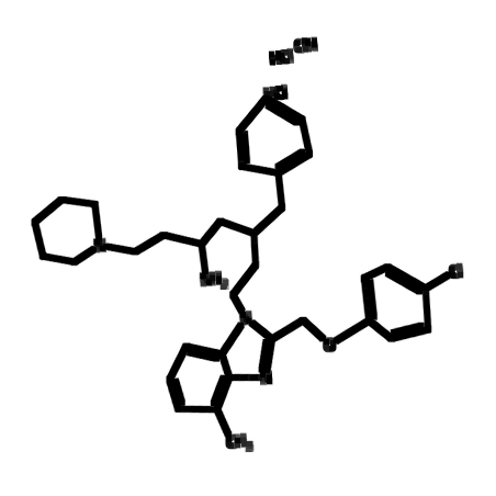 Cc1cccc2c1nc(COc1ccc(Cl)cc1)n2CCC(Cc1ccccc1)CC(N)CCN1CCCCC1.Cl.Cl.Cl